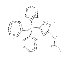 CNCc1cnn(C(c2ccccc2)(c2ccccc2)c2ccccc2)c1